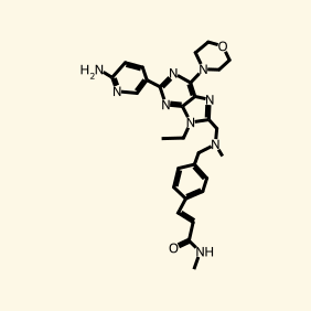 CCn1c(CN(C)Cc2ccc(/C=C/C(=O)NC)cc2)nc2c(N3CCOCC3)nc(-c3ccc(N)nc3)nc21